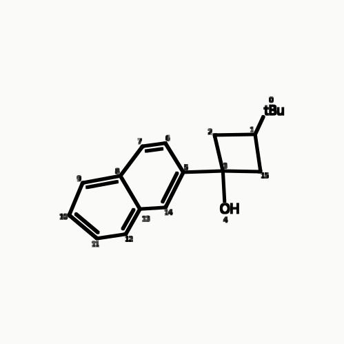 CC(C)(C)C1CC(O)(c2ccc3ccccc3c2)C1